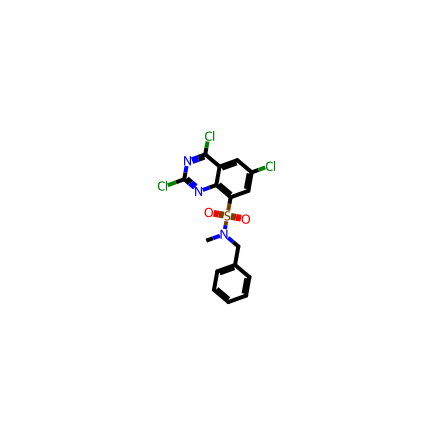 CN(Cc1ccccc1)S(=O)(=O)c1cc(Cl)cc2c(Cl)nc(Cl)nc12